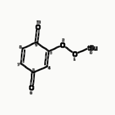 CC(C)(C)OOC1=CC(=O)C=CC1=O